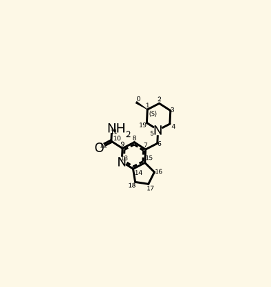 C[C@H]1CCCN(Cc2cc(C(N)=O)nc3c2CCC3)C1